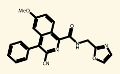 COc1ccc2c(C(=O)NCc3ncco3)nc(C#N)c(-c3ccccc3)c2c1